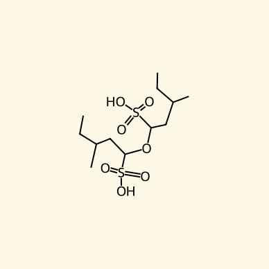 CCC(C)CC(OC(CC(C)CC)S(=O)(=O)O)S(=O)(=O)O